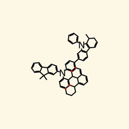 CC1CC=Cc2c1n(-c1ccccc1)c1cc(-c3ccc(N(c4ccc5c(c4)C(C)(C)c4ccccc4-5)c4ccccc4C4C=CC=C5C=CC=C(C6CCCCC6)C54)cc3)ccc21